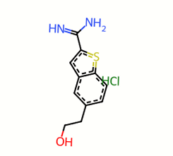 Cl.N=C(N)c1cc2cc(CCO)ccc2s1